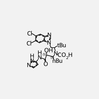 CCCC[C@@H]([C@H](O)C(=O)Nc1ccn[nH]1)N(C(=O)O)C(Cn1cnc2cc(Cl)c(Cl)cc21)C(C)(C)C